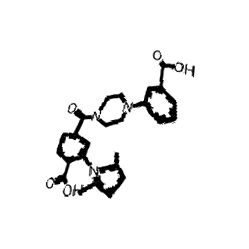 Cc1ccc(C)n1-c1cc(C(=O)N2CCN(c3cccc(C(=O)O)c3)CC2)ccc1C(=O)O